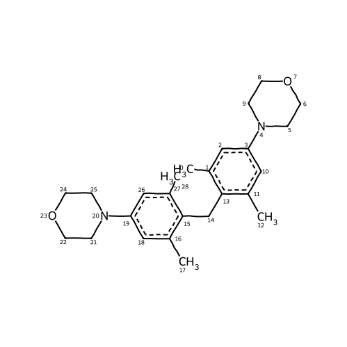 Cc1cc(N2CCOCC2)cc(C)c1Cc1c(C)cc(N2CCOCC2)cc1C